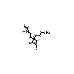 C=CNCCC1(CCCC(C)(C)C)CNC1